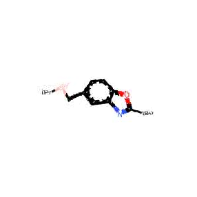 CC(C)BCc1ccc2oc(C(C)(C)C)nc2c1